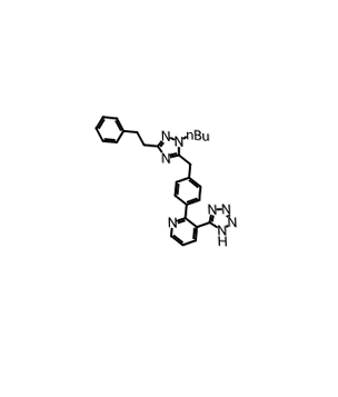 CCCCn1nc(CCc2ccccc2)nc1Cc1ccc(-c2ncccc2-c2nnn[nH]2)cc1